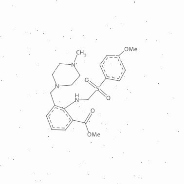 COC(=O)c1cccc(CN2CCN(C)CC2)c1NCS(=O)(=O)c1ccc(OC)cc1